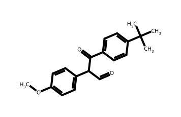 COc1ccc(C(C=O)C(=O)c2ccc(C(C)(C)C)cc2)cc1